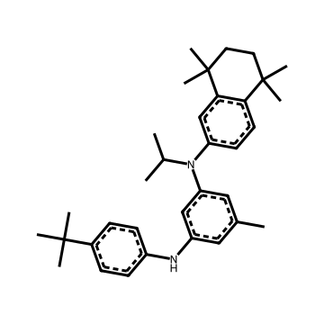 Cc1cc(Nc2ccc(C(C)(C)C)cc2)cc(N(c2ccc3c(c2)C(C)(C)CCC3(C)C)C(C)C)c1